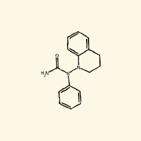 NC(=O)N(c1ccccc1)N1CCCc2ccccc21